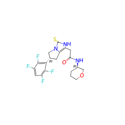 O=C(Cc1[nH]c(=S)n2c1C[C@H](c1c(F)c(F)cc(F)c1F)C2)N[C@@H]1CCCOC1